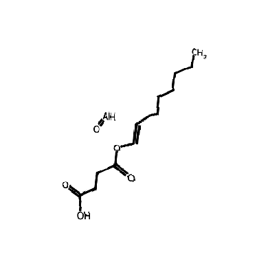 CCCCCCC=COC(=O)CCC(=O)O.[O]=[AlH]